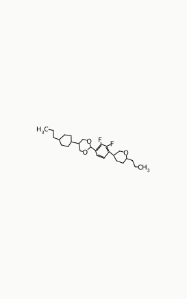 CCCC1CCC(C2COC(c3ccc(C4CCC(CCC)OC4)c(F)c3F)OC2)CC1